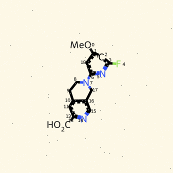 COc1cc(F)nc(N2CCc3cc(C(=O)O)ncc3C2)c1